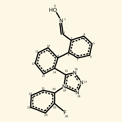 ON=Cc1ccccc1-c1ccccc1-c1nnnn1-c1ccccc1F